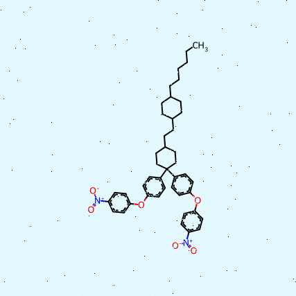 CCCCCCC1CCC(CCC2CCC(c3ccc(Oc4ccc([N+](=O)[O-])cc4)cc3)(c3ccc(Oc4ccc([N+](=O)[O-])cc4)cc3)CC2)CC1